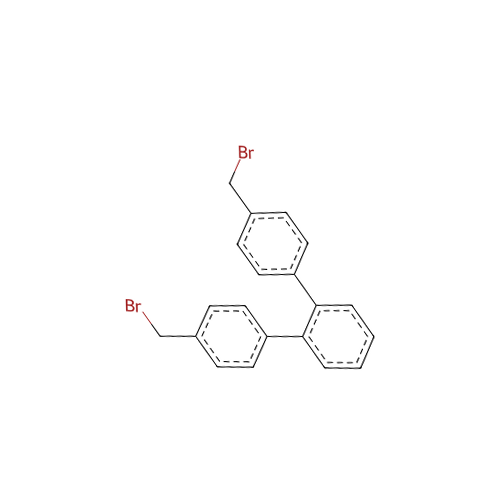 BrCc1ccc(-c2ccccc2-c2ccc(CBr)cc2)cc1